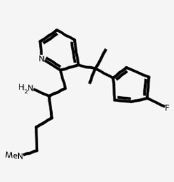 CNCCCC(N)Cc1ncccc1C(C)(C)c1ccc(F)cc1